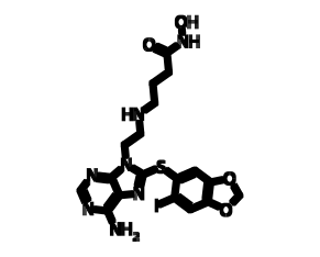 Nc1ncnc2c1nc(Sc1cc3c(cc1I)OCO3)n2CCNCCCC(=O)NO